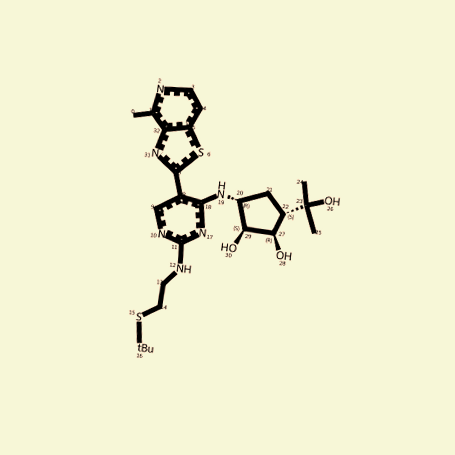 Cc1nccc2sc(-c3cnc(NCCSC(C)(C)C)nc3N[C@@H]3C[C@H](C(C)(C)O)[C@@H](O)[C@H]3O)nc12